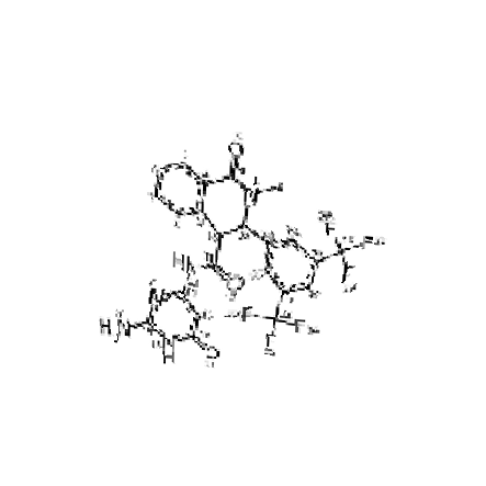 CN1C(=O)c2ccccc2C(C(=O)Nc2cc(=O)[nH]c(N)n2)C1c1cc(C(F)(F)F)cc(C(F)(F)F)c1